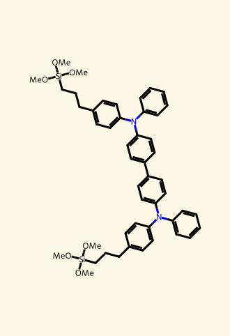 CO[Si](CCCc1ccc(N(c2ccccc2)c2ccc(-c3ccc(N(c4ccccc4)c4ccc(CCC[Si](OC)(OC)OC)cc4)cc3)cc2)cc1)(OC)OC